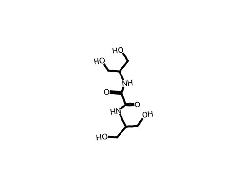 O=C(NC(CO)CO)C(=O)NC(CO)CO